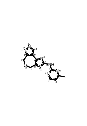 Cc1ccnc(Nc2nc3c(s2)COCc2[nH]ncc2-3)n1